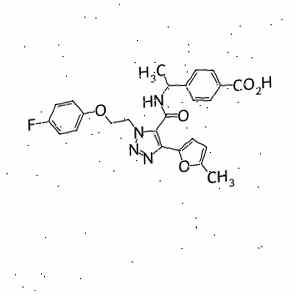 Cc1ccc(-c2nnn(CCOc3ccc(F)cc3)c2C(=O)NC(C)c2ccc(C(=O)O)cc2)o1